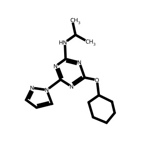 CC(C)Nc1nc(OC2CCCCC2)nc(-n2cccn2)n1